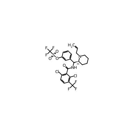 C=CCN1CCCC[C@H]1C(NC(=O)c1c(Cl)ccc(C(F)(F)F)c1Cl)c1cccc(OS(=O)(=O)C(F)(F)F)c1